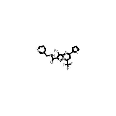 O=C(NCc1cccnc1)c1nn2c(C(F)(F)F)cc(-c3cccs3)nc2c1Br